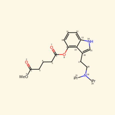 COC(=O)CCCC(=O)Oc1cccc2[nH]cc(CCN(C(C)C)C(C)C)c12